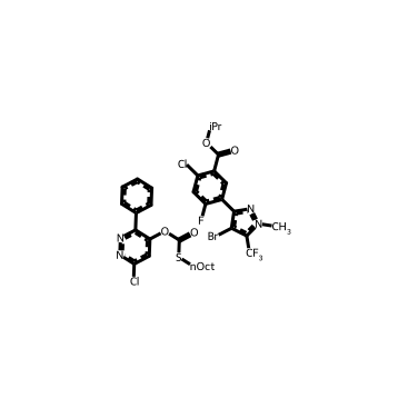 CC(C)OC(=O)c1cc(-c2nn(C)c(C(F)(F)F)c2Br)c(F)cc1Cl.CCCCCCCCSC(=O)Oc1cc(Cl)nnc1-c1ccccc1